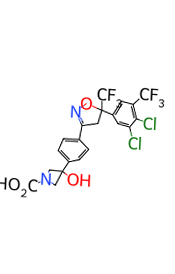 O=C(O)N1CC(O)(c2ccc(C3=NOC(c4cc(Cl)c(Cl)c(C(F)(F)F)c4)(C(F)(F)F)C3)cc2)C1